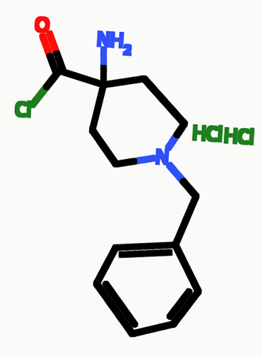 Cl.Cl.NC1(C(=O)Cl)CCN(Cc2ccccc2)CC1